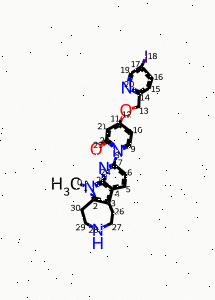 Cn1c2c(c3ccc(-n4ccc(OCc5ccc(I)cn5)cc4=O)nc31)CCNCC2